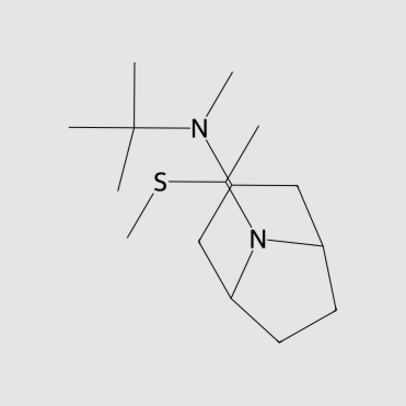 CSC(C)N1C2CCC1CC(N(C)C(C)(C)C)C2